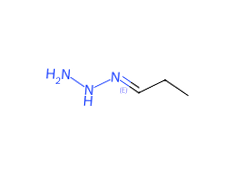 CC/C=N/NN